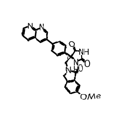 COc1ccc2c(c1)C(=O)N(C[C@]1(c3ccc(-c4cnc5ncccc5c4)cc3)NC(=O)NC1=O)C2